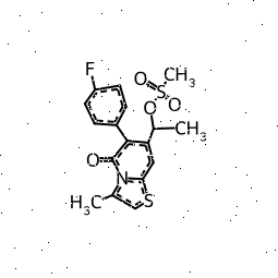 Cc1csc2cc(C(C)OS(C)(=O)=O)c(-c3ccc(F)cc3)c(=O)n12